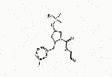 C=CCOC(=O)N1CC(O[Si](C)(C)C(C)(C)C)CC1Cc1ccnc(C)c1